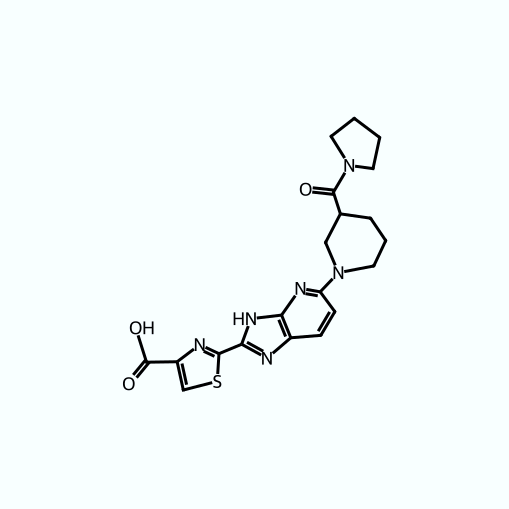 O=C(O)c1csc(-c2nc3ccc(N4CCCC(C(=O)N5CCCC5)C4)nc3[nH]2)n1